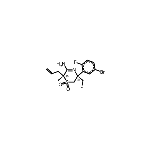 C=CC[C@]1(C)C(N)=N[C@](CF)(c2cc(Br)ccc2F)CS1(=O)=O